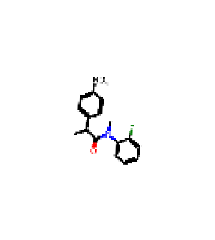 CC(C(=O)N(C)c1ccccc1F)c1ccc([N+](=O)[O-])cc1